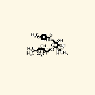 COc1ccc(C(=O)NCC2OC(OCCC(C)CC(C)(C)CC(=O)C(C)C)C(NC(C)=O)C(O)C2O)cc1